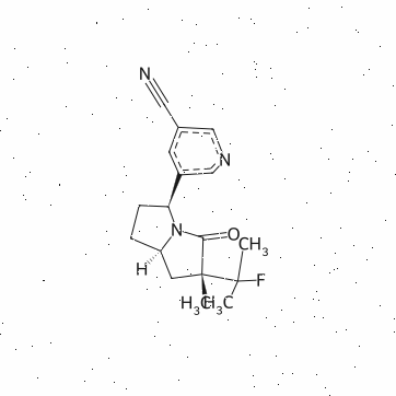 CC(C)(F)[C@]1(C)C[C@H]2CC[C@@H](c3cncc(C#N)c3)N2C1=O